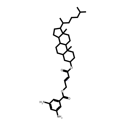 CC(C)CCCC(C)C1CCC2C3CCC4CC(OC(=O)/C=C/COC(=O)c5cc(N)cc(N)c5)CCC4(C)C3CCC12C